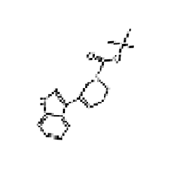 CC(C)(C)OC(=O)N1CCC=C(c2coc3ccccc23)C1